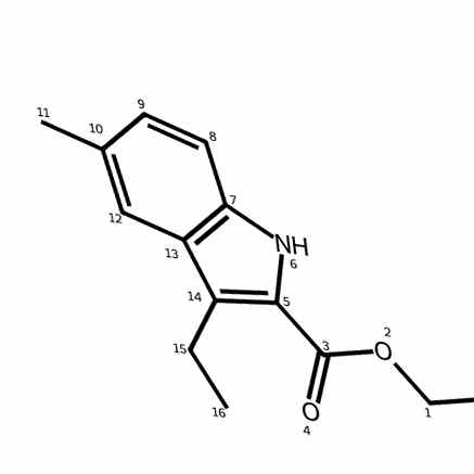 CCOC(=O)c1[nH]c2ccc(C)cc2c1CC